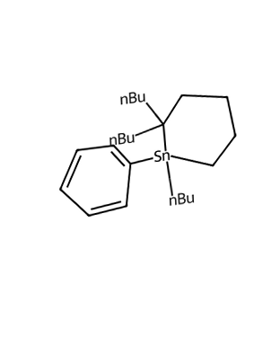 CCCC[C]1(CCCC)CCC[CH2][Sn]1([CH2]CCC)[c]1ccccc1